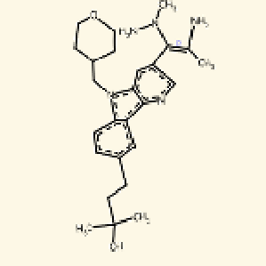 C/C(N)=C(\c1cnc2c3cc(CCC(C)(C)O)ccc3n(CC3CCOCC3)c2c1)N(C)N